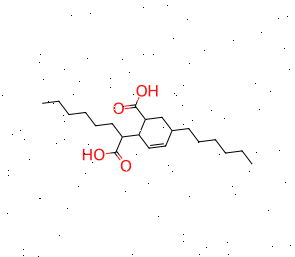 CCCCCCC1C=CC(C(CCCCCC)C(=O)O)C(C(=O)O)C1